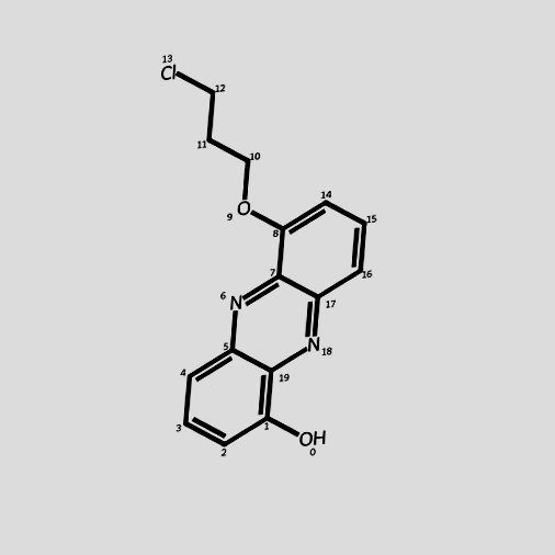 Oc1cccc2nc3c(OCCCCl)cccc3nc12